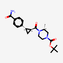 C[C@@H]1CN(C(=O)OC(C)(C)C)CCN1C(=O)[C@H]1C[C@@H]1c1ccc(C(N)=O)cc1